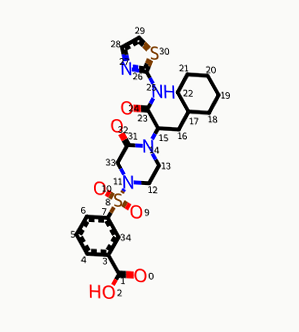 O=C(O)c1cccc(S(=O)(=O)N2CCN(C(CC3CCCCC3)C(=O)Nc3nccs3)C(=O)C2)c1